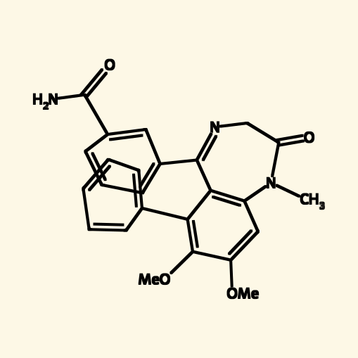 COc1cc2c(c(-c3ccccc3)c1OC)C(c1cccc(C(N)=O)c1)=NCC(=O)N2C